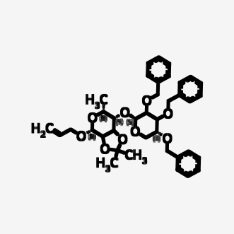 C=CCO[C@@H]1O[C@H](C)[C@H](O[C@@H]2OC[C@@H](OCc3ccccc3)C(OCc3ccccc3)C2OCc2ccccc2)C2OC(C)(C)OC21